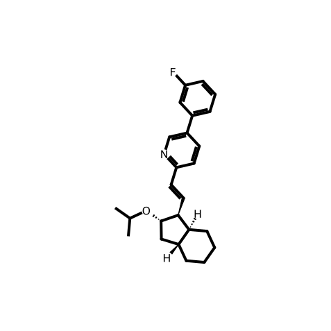 CC(C)O[C@H]1C[C@H]2CCCC[C@@H]2[C@@H]1C=Cc1ccc(-c2cccc(F)c2)cn1